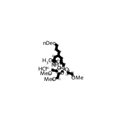 CCCCCCCCCCCCCC(CCC[Si](OCCOC)(OCCOC)OCCOC)CC(C)(C)N.Cl